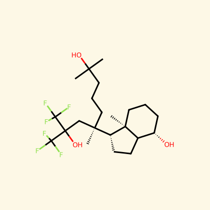 CC(C)(O)CCC[C@](C)(CC(O)(C(F)(F)F)C(F)(F)F)[C@H]1CCC2[C@@H](O)CCC[C@@]21C